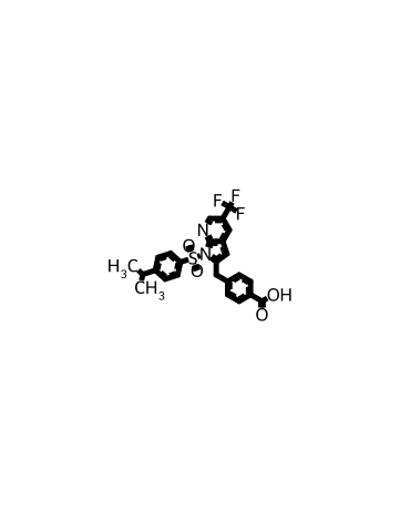 CC(C)c1ccc(S(=O)(=O)n2c(Cc3ccc(C(=O)O)cc3)cc3cc(C(F)(F)F)cnc32)cc1